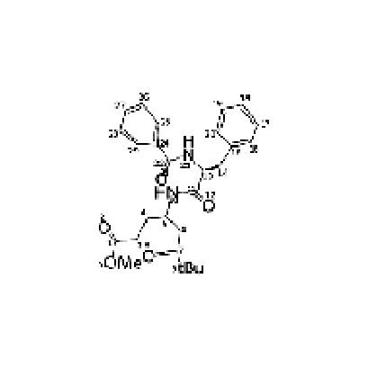 COC(=O)CCC(CC(=O)C(C)(C)C)NC(=O)[C@H](Cc1ccccc1)NC(=O)c1ccccc1